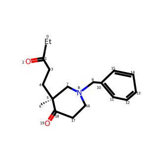 CCC(=O)CC[C@@]1(C)CN(Cc2ccccc2)CCC1=O